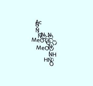 COc1nc(-c2cccc(-c3ccnc(-c4cc(OC)c5nc(CN6CC7(C6)CN(C(C)=O)C7)cn5c4)c3Cl)c2Cl)ccc1CNCC1CCC(=O)N1